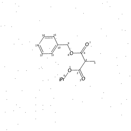 CC(C)OC(=O)C(C)C(=O)OCc1ccccc1